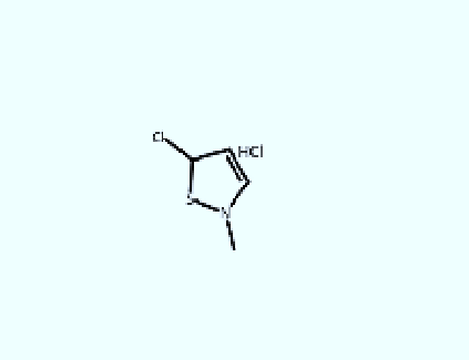 CN1C=CC(Cl)S1.Cl